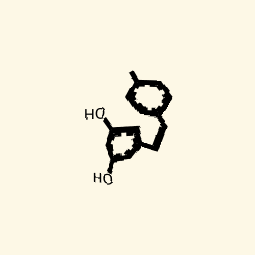 Cc1ccc(/C=C\c2cc(O)cc(O)c2)cc1